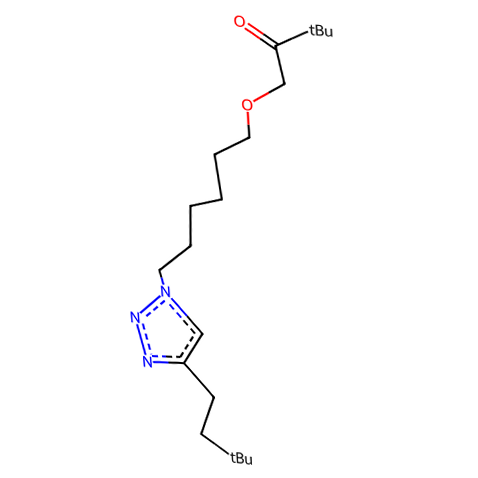 CC(C)(C)CCc1cn(CCCCCCOCC(=O)C(C)(C)C)nn1